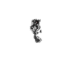 O=C(CNC(=O)c1ccc(S(=O)(=O)Nc2ccccc2Oc2ccccc2)cc1)NCCCN1CCC(N2CCCCC2)CC1